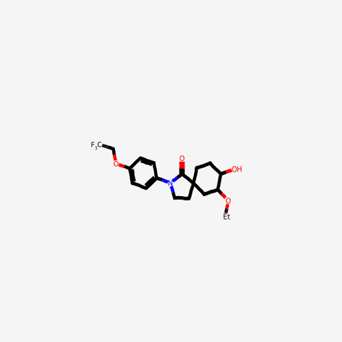 CCOC1CC2(CCC1O)CCN(c1ccc(OCC(F)(F)F)cc1)C2=O